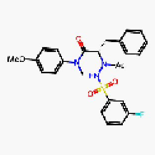 COc1ccc(N(C)C(=O)[C@H](Cc2ccccc2)N(NS(=O)(=O)c2cccc(F)c2)C(C)=O)cc1